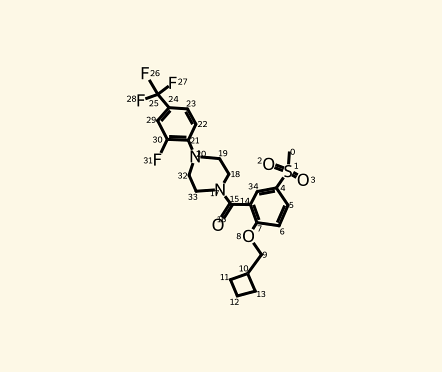 CS(=O)(=O)c1ccc(OCC2CCC2)c(C(=O)N2CCN(c3ccc(C(F)(F)F)cc3F)CC2)c1